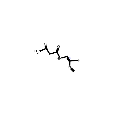 C=N/C(F)=C\NC(=O)CC(N)=O